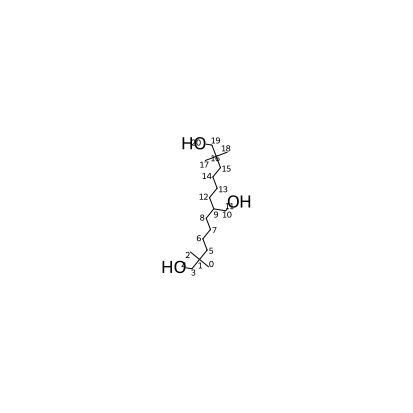 CC(C)(CO)CCCCC(CO)CCCCC(C)(C)CO